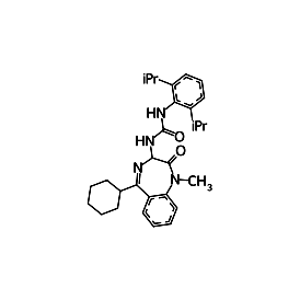 CC(C)c1cccc(C(C)C)c1NC(=O)NC1N=C(C2CCCCC2)c2ccccc2N(C)C1=O